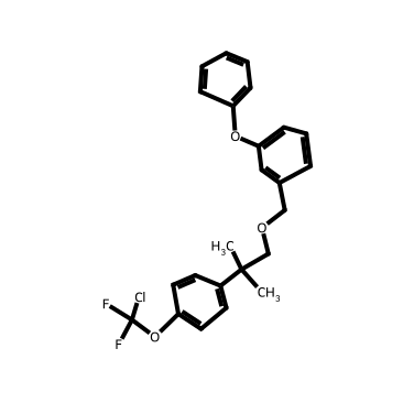 CC(C)(COCc1cccc(Oc2ccccc2)c1)c1ccc(OC(F)(F)Cl)cc1